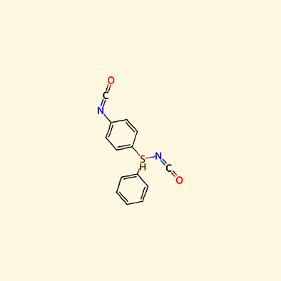 O=C=Nc1ccc([SH](N=C=O)c2ccccc2)cc1